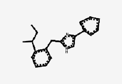 CCC(C)c1ccccc1Cc1nc(-c2ccccc2)c[nH]1